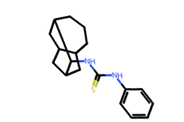 S=C(Nc1ccccc1)NC1C2CCCC3CC1CC3C2